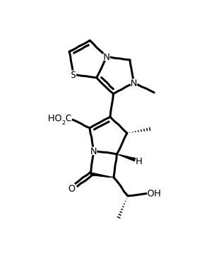 C[C@@H](O)[C@H]1C(=O)N2C(C(=O)O)=C(C3=C4SC=CN4CN3C)[C@H](C)[C@H]12